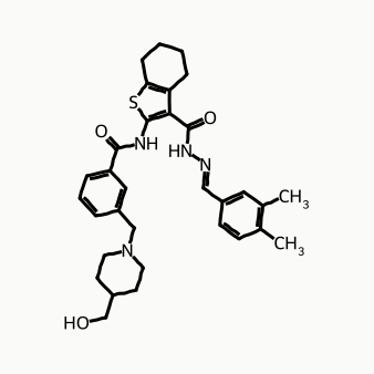 Cc1ccc(/C=N/NC(=O)c2c(NC(=O)c3cccc(CN4CCC(CO)CC4)c3)sc3c2CCCC3)cc1C